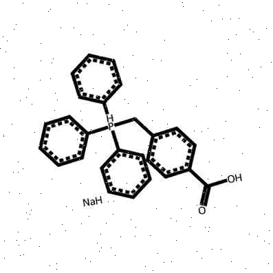 O=C(O)c1ccc(C[PH](c2ccccc2)(c2ccccc2)c2ccccc2)cc1.[NaH]